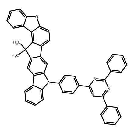 CC1(C)c2cc3c4ccccc4n(-c4ccc(-c5nc(-c6ccccc6)nc(-c6ccccc6)n5)cc4)c3cc2-c2ccc3oc4ccccc4c3c21